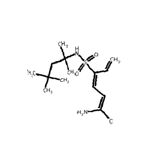 C=C/C(=C\C=C(/N)Cl)S(=O)(=O)NC(C)(C)CC(C)(C)C